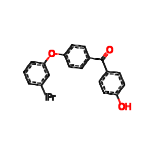 CC(C)c1cccc(Oc2ccc(C(=O)c3ccc(O)cc3)cc2)c1